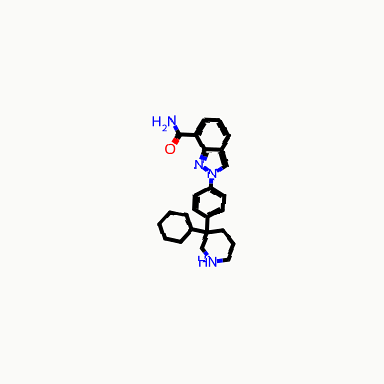 NC(=O)c1cccc2cn(-c3ccc(C4(C5CCCCC5)CCCNC4)cc3)nc12